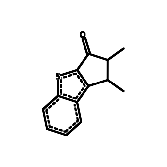 CC1C(=O)c2sc3ccccc3c2C1C